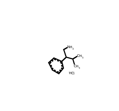 CC(C)C(CN)c1ccccc1.Cl